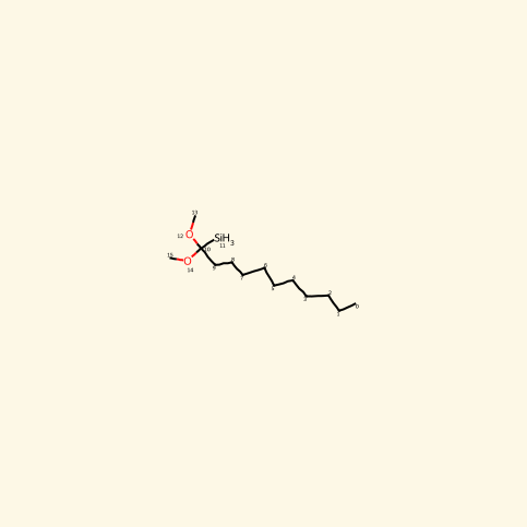 CCCCCCCCCCC([SiH3])(OC)OC